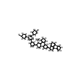 Cc1ccc(-c2nc(-c3ccc(C)cc3)nc(-c3cccc(-c4cccc(-c5c(C#N)cccc5-c5cccc(-c6ccc7c8c(cccc68)-c6ccccc6-7)c5)c4)c3)n2)cc1